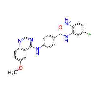 COc1ccc2ncnc(Nc3ccc(C(=O)Nc4cc(F)ccc4N)cc3)c2c1